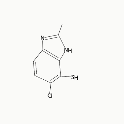 Cc1nc2ccc(Cl)c(S)c2[nH]1